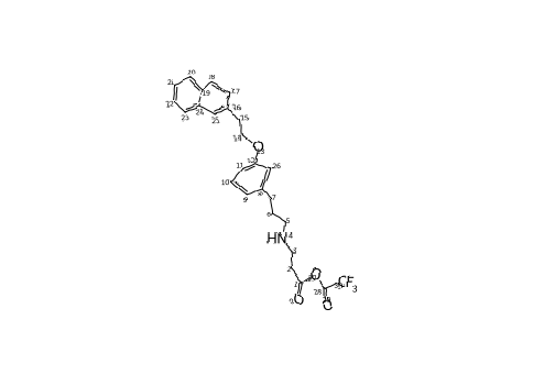 O=C(CCNCCCc1cccc(OCCc2ccc3ccccc3c2)c1)OC(=O)C(F)(F)F